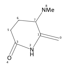 C=C1NC(=O)CCC1NC